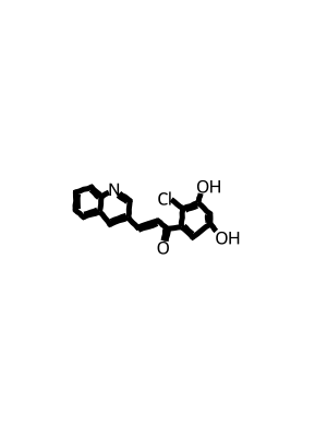 O=C(/C=C/c1cnc2ccccc2c1)c1cc(O)cc(O)c1Cl